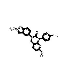 CCOc1ccc2c(n1)N(c1ccc(C(F)(F)F)nc1)C(=O)N(c1ccc3nn(C)cc3c1)C2